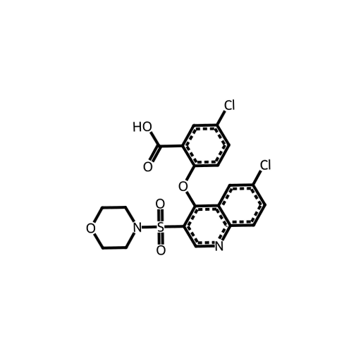 O=C(O)c1cc(Cl)ccc1Oc1c(S(=O)(=O)N2CCOCC2)cnc2ccc(Cl)cc12